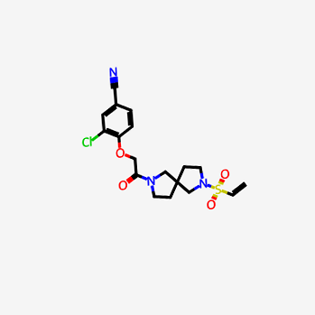 C=CS(=O)(=O)N1CCC2(CCN(C(=O)COc3ccc(C#N)cc3Cl)C2)C1